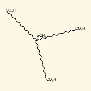 C=C[Si](CCCCCCCCCCCCCC(=O)O)(CCCCCCCCCCCCCC(=O)O)CCCCCCCCCCCCCC(=O)O